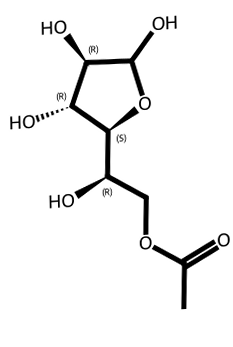 CC(=O)OC[C@@H](O)[C@@H]1OC(O)[C@H](O)[C@H]1O